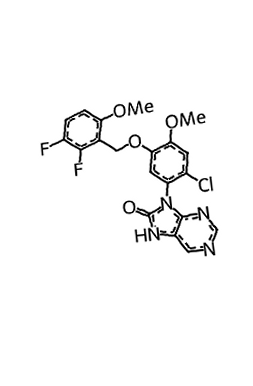 COc1cc(Cl)c(-n2c(=O)[nH]c3cncnc32)cc1OCc1c(OC)ccc(F)c1F